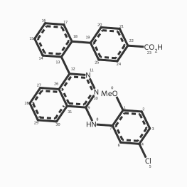 COc1ccc(Cl)cc1Nc1nnc(-c2ccccc2-c2ccc(C(=O)O)cc2)c2ccccc12